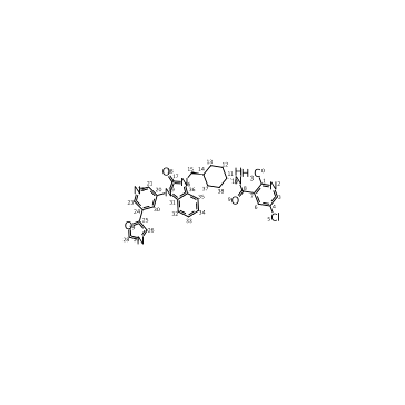 Cc1ncc(Cl)cc1C(=O)N[C@H]1CC[C@H](Cn2c(=O)n(-c3cncc(-c4cnco4)c3)c3ccccc32)CC1